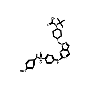 COc1ccc(NS(=O)(=O)c2ccc(Nc3ncc4cnn(C[C@H]5CC[C@H](N(C(=O)O)C(C)(C)C)CC5)c4n3)cc2)cc1